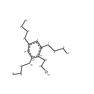 CCCCc1cc(CCCC)c(CC[O])c(CCCC)c1